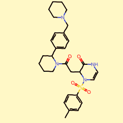 Cc1ccc(S(=O)(=O)N2C=CNC(=O)C2CC(=O)N2CCCCC2c2ccc(CN3CCCCC3)cc2)cc1